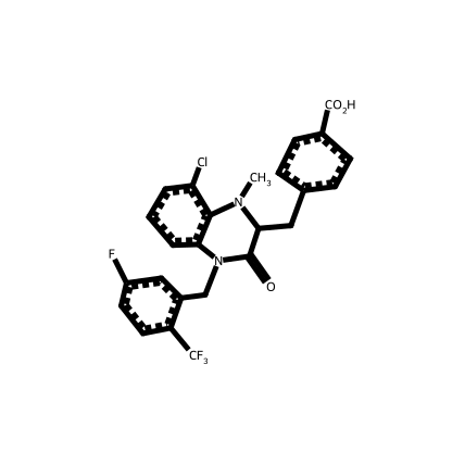 CN1c2c(Cl)cccc2N(Cc2cc(F)ccc2C(F)(F)F)C(=O)C1Cc1ccc(C(=O)O)cc1